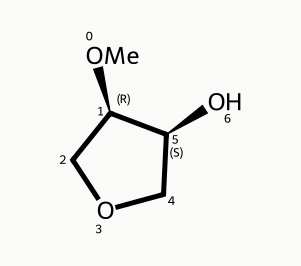 CO[C@@H]1COC[C@@H]1O